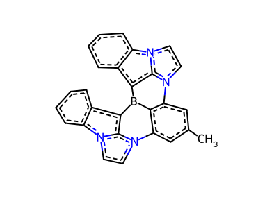 Cc1cc2c3c(c1)-n1ccn4c5ccccc5c(c14)B3c1c3ccccc3n3ccn-2c13